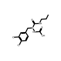 CCCNC(=O)N(Cc1ccc(Cl)c(Cl)c1)NC(=O)O